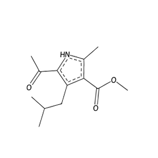 COC(=O)c1c(C)[nH]c(C(C)=O)c1CC(C)C